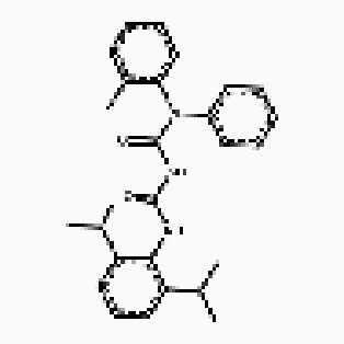 Cc1ccccc1N(C(=O)NC(=O)Nc1c(C(C)C)cccc1C(C)C)c1ccccc1